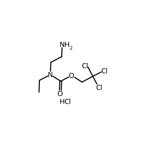 CCN(CCN)C(=O)OCC(Cl)(Cl)Cl.Cl